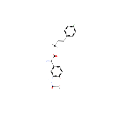 CC1Oc2ccc(C(N)C(=O)OC(C)(C)CCc3ccc(Cl)cc3)cc2NC1=O